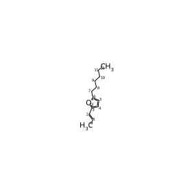 C/C=C/c1ccc(CCCCCC)o1